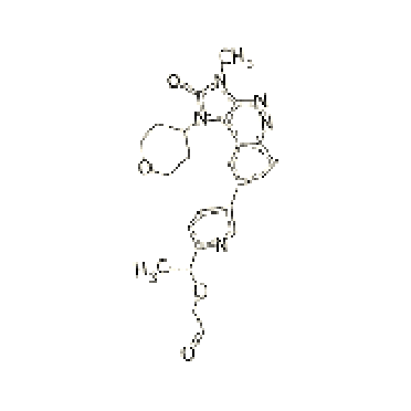 C[C@@H](OCC=O)c1ccc(-c2ccc3nnc4c(c3c2)n(C2CCOCC2)c(=O)n4C)cn1